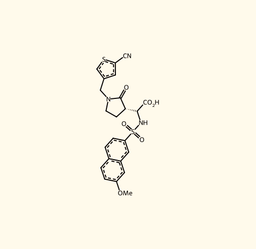 COc1ccc2ccc(S(=O)(=O)NC(C(=O)O)[C@@H]3CCN(Cc4csc(C#N)c4)C3=O)cc2c1